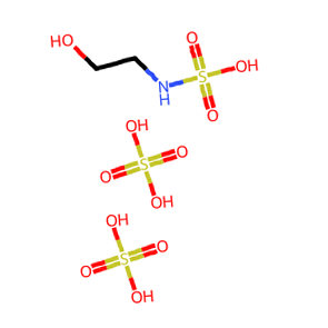 O=S(=O)(O)NCCO.O=S(=O)(O)O.O=S(=O)(O)O